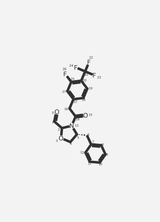 O=CC1OC[C@@H](Cc2ccccc2)N1C(=O)Cc1ccc(C(F)(F)F)c(F)c1